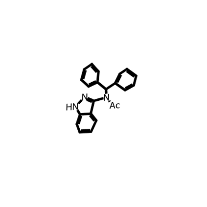 CC(=O)N(c1n[nH]c2ccccc12)C(c1ccccc1)c1ccccc1